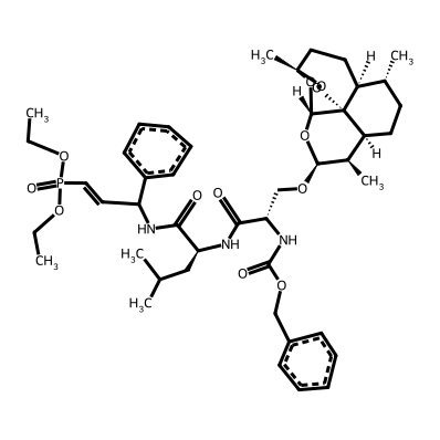 CCOP(=O)(/C=C/C(NC(=O)[C@H](CC(C)C)NC(=O)[C@H](CO[C@H]1O[C@@H]2O[C@@]3(C)CC[C@H]4[C@H](C)CC[C@@H]([C@H]1C)[C@@]24OO3)NC(=O)OCc1ccccc1)c1ccccc1)OCC